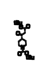 CC(C)(C)OC(=O)CC(=O)C1CCN(C(=O)OC(C)(C)C)CC1